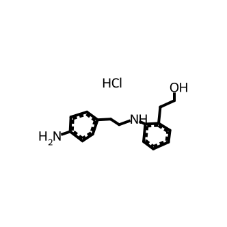 Cl.Nc1ccc(CCNc2ccccc2CCO)cc1